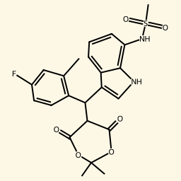 Cc1cc(F)ccc1C(c1c[nH]c2c(NS(C)(=O)=O)cccc12)C1C(=O)OC(C)(C)OC1=O